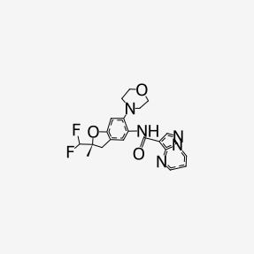 C[C@]1(C(F)F)Cc2cc(NC(=O)c3cnn4cccnc34)c(N3CCOCC3)cc2O1